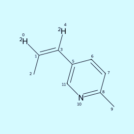 [2H]C(C)=C([2H])c1ccc(C)nc1